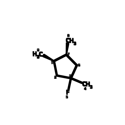 C[C@@H]1CC(C)(F)C[C@@H]1C